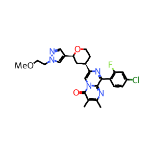 COCCn1cc([C@@H]2C[C@H](c3cn4c(=O)c(C)c(C)nc4c(-c4ccc(Cl)cc4F)n3)CCO2)cn1